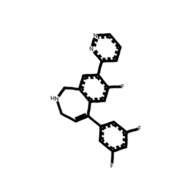 Fc1cc(F)cc(C2=CCNCc3cc(-c4cccnn4)c(F)cc32)c1